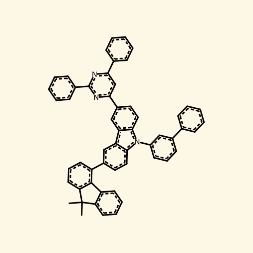 CC1(C)c2ccccc2-c2c(-c3ccc4c(c3)c3cc(-c5cc(-c6ccccc6)nc(-c6ccccc6)n5)ccc3n4-c3cccc(-c4ccccc4)c3)cccc21